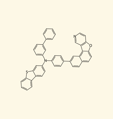 c1ccc(-c2cccc(N(c3ccc(-c4ccc5ccc6oc7ccncc7c6c5c4)cc3)c3ccc4c(c3)sc3ccccc34)c2)cc1